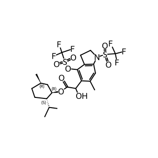 Cc1cc2c(c(OS(=O)(=O)C(F)(F)F)c1C(O)C(=O)O[C@@H]1C[C@H](C)CC[C@H]1C(C)C)CCN2S(=O)(=O)C(F)(F)F